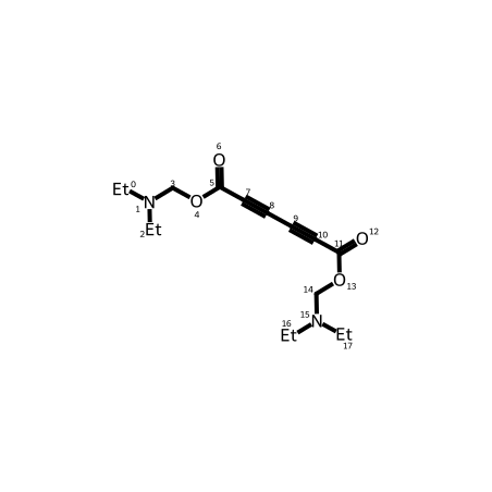 CCN(CC)COC(=O)C#CC#CC(=O)OCN(CC)CC